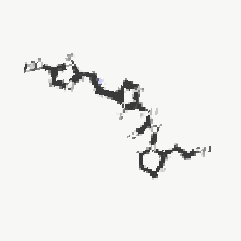 CC(C)(C)c1cnc(/C=C/c2cnc(NC(=O)ON3CCCCC3CCO)s2)o1